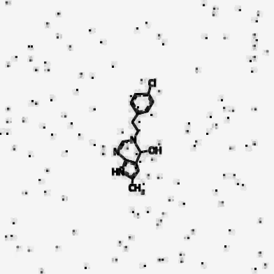 Cc1cc2c([nH]1)N=CN(CCc1ccc(Cl)cc1)C2O